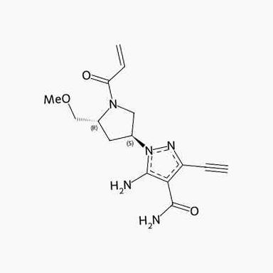 C#Cc1nn([C@H]2C[C@H](COC)N(C(=O)C=C)C2)c(N)c1C(N)=O